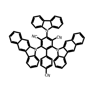 N#Cc1ccc(-c2c(-n3c4ccccc4c4cc5ccccc5cc43)c(C#N)c(-n3c4ccccc4c4ccccc43)c(C#N)c2-n2c3ccccc3c3cc4ccccc4cc32)cc1